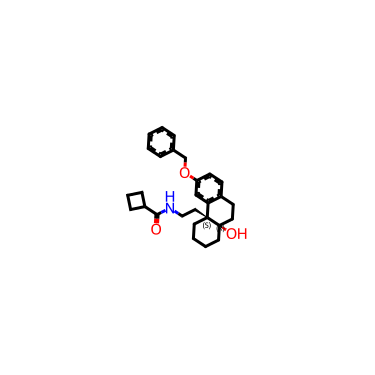 O=C(NCC[C@]12CCCC[C@@]1(O)CCc1ccc(OCc3ccccc3)cc12)C1CCC1